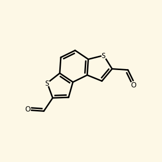 O=Cc1cc2c(ccc3sc(C=O)cc32)s1